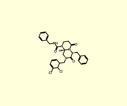 O=C1[C@H](Cc2ccccc2)N2C(=O)CCN(C(=O)NCc3ccccc3)[C@H]2CN1CC1C=CC=C(Cl)C1Cl